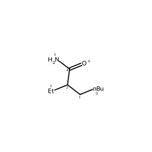 CCCCCC(CC)C(N)=O